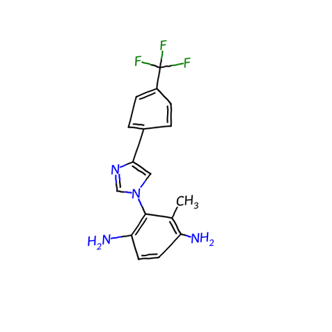 Cc1c(N)ccc(N)c1-n1cnc(-c2ccc(C(F)(F)F)cc2)c1